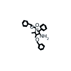 CC1C(COCc2ccccc2)C(N)C(c2ccccc2)N1C(=O)OCc1ccccc1